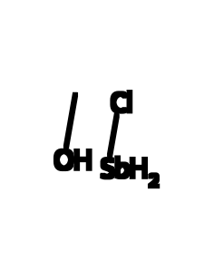 CO.[Cl][SbH2]